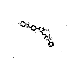 C=C(N)C(=C\C=C(/C)NS(=O)(=O)c1ccccc1)/N=C(\C)C1CCC(NC(=O)N2CCNCC2)CC1